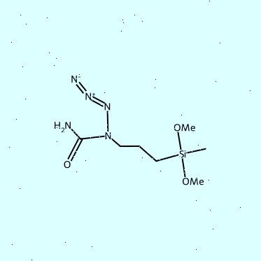 CO[Si](C)(CCCN(N=[N+]=[N-])C(N)=O)OC